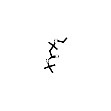 CCOC(C)(C)CC(=O)OC(C)(C)C